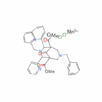 COC(=O)C12CN(Cc3ccccc3)CC(C(=O)OC)(C1=O)C(c1ccccn1)N(Cc1ccccc1)C2c1ccccn1.[Cl-].[Cl-].[Mn+2]